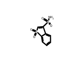 NS(=O)(=O)C1=CS(=O)(=O)c2ccccc21